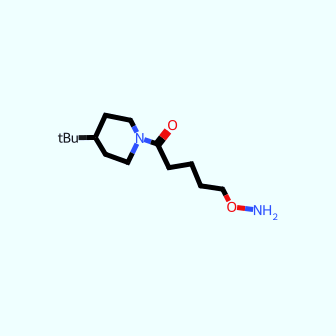 CC(C)(C)C1CCN(C(=O)CCCCON)CC1